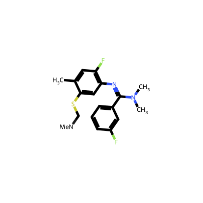 CNCSc1cc(/N=C(\c2cccc(F)c2)N(C)C)c(F)cc1C